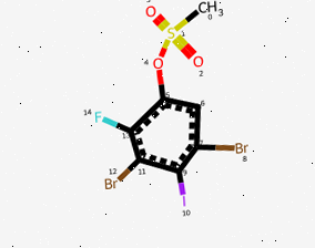 CS(=O)(=O)Oc1cc(Br)c(I)c(Br)c1F